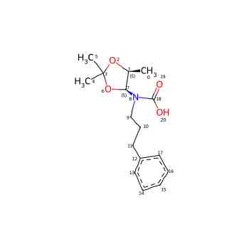 C[C@@H]1OC(C)(C)O[C@@H]1N(CCCc1ccccc1)C(=O)O